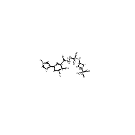 Cn1cnc(-c2cc(Cl)c(F)c(C(=O)NNS(=O)(=O)CC3CN(S(C)(=O)=O)C3)c2)c1